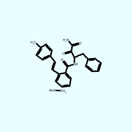 CNC.Cc1ccc(C=Cc2ccccc2C(=O)NC(Cc2ccccc2)C(=O)C(N)=O)cc1